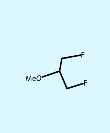 [CH2]OC(CF)CF